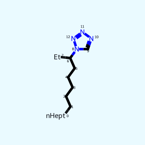 CCCCCCCCCCCCC(CC)n1cnnn1